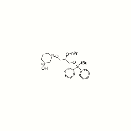 CCCOC(CO[C@@H]1CCC[C@H](O)C1)CO[Si](c1ccccc1)(c1ccccc1)C(C)(C)C